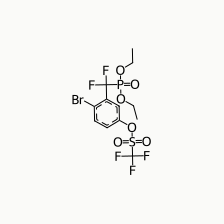 CCOP(=O)(OCC)C(F)(F)c1cc(OS(=O)(=O)C(F)(F)F)ccc1Br